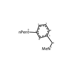 CCCCCc1cccc(CNC)c1